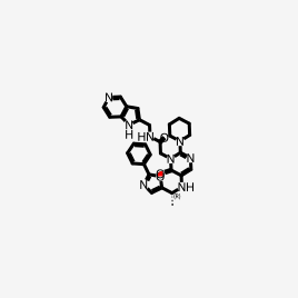 C[C@@H](Nc1cnc(N2CCCCC2)n(CC(=O)NCc2cc3cnccc3[nH]2)c1=O)c1cnc(-c2ccccc2)o1